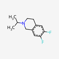 CC(C)N1CCc2cc(F)c(F)cc2C1